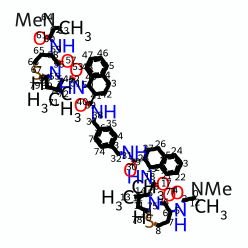 CNC(C)C(=O)N[C@H]1CCS[C@H]2CC(C)(C)[C@@H](C(=O)N[C@H]3c4ccccc4CC[C@H]3C(=O)NCc3ccc(CNC(=O)[C@@H]4CCc5ccccc5[C@@H]4NC(=O)[C@H]4N5C(=O)[C@@H](NC(=O)C(C)NC)CCS[C@H]5CC4(C)C)cc3)N2C1=O